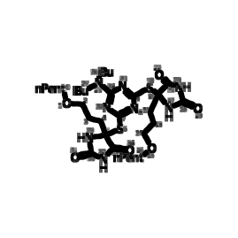 CCCCCOCCCC1(Sc2nc(SC3(CCCOCCCCC)NC(=O)NC3=O)nc(N(C(C)CC)C(C)CC)n2)NC(=O)NC1=O